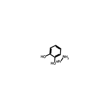 CCCN.Oc1ccccc1O